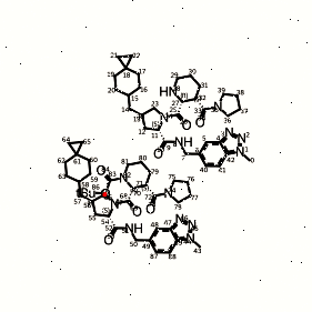 Cn1nnc2cc(CNC(=O)[C@@H]3C[C@@H](CC4CCC5(CC4)CC5)CN3C(=O)[C@@H]3NCCC[C@@H]3C(=O)N3CCCC3)ccc21.Cn1nnc2cc(CNC(=O)[C@@H]3C[C@@H](CC4CCC5(CC4)CC5)CN3C(=O)[C@H]3[C@@H](C(=O)N4CCCC4)CCCN3C(=O)OC(C)(C)C)ccc21